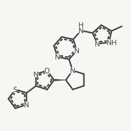 Cc1cc(Nc2ccnc(N3CCC[C@H]3c3cc(-c4nccs4)no3)n2)n[nH]1